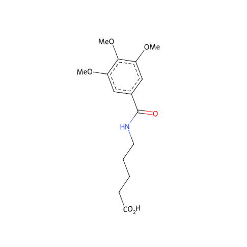 COc1cc(C(=O)NCCCCC(=O)O)cc(OC)c1OC